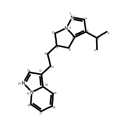 CC(C)c1cnn2c1CC(CCc1cnn3ccccc13)C2